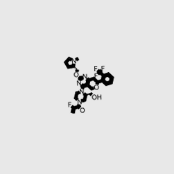 C=C(F)C(=O)N1CCN(c2nc(OC[C@@H]3CCCN3C)nc3c2COC(c2ccccc2C(F)(F)F)C3)[C@@H](CO)C1